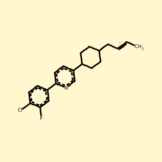 C/C=C/CC1CCC(c2ccc(-c3ccc(Cl)c(F)c3)nc2)CC1